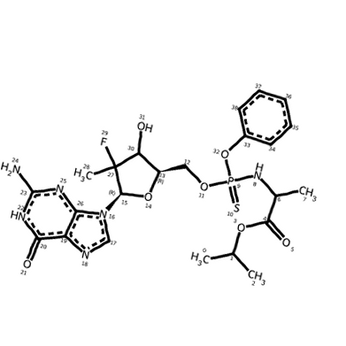 CC(C)OC(=O)C(C)NP(=S)(OC[C@H]1O[C@@H](n2cnc3c(=O)[nH]c(N)nc32)C(C)(F)C1O)Oc1ccccc1